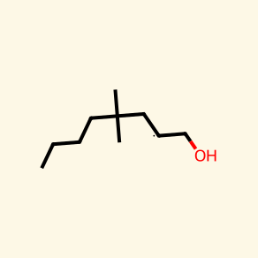 CCCCC(C)(C)C[CH]CO